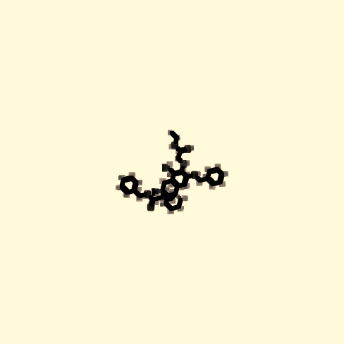 CCOC(=O)COc1c(OCc2ccccc2)cc2c(c1Br)C[C@H]1C3CCCC[C@@]23CCN1C(=O)OCc1ccccc1